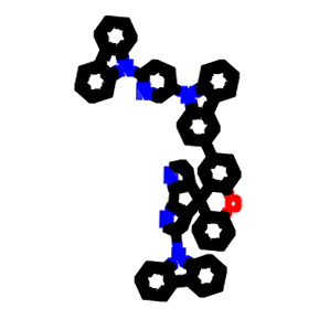 c1ccc2c(c1)Oc1ccc(-c3ccc4c(c3)c3ccccc3n4-c3ccc(-n4c5ccccc5c5ccccc54)nc3)cc1C21c2cccnc2-c2ncc(-n3c4ccccc4c4ccccc43)cc21